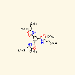 COC(=O)[C@@H](CCSC)NC(=O)c1cc(C(=O)N[C@H](CCSC)C(=O)OC)cc(C(=O)N[C@H](CCSC)C(=O)OC)c1